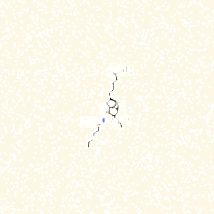 CCCCC[C@H](O)/C=C/[C@@H]1[C@H]2CC(CCCCC(=O)O)=C[C@H]2C[C@H]1OC(C)=O